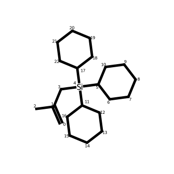 C=C(C)C[Si](C1CCCCC1)(C1CCCCC1)C1CCCCC1